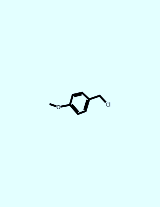 COc1[c]cc(CCl)cc1